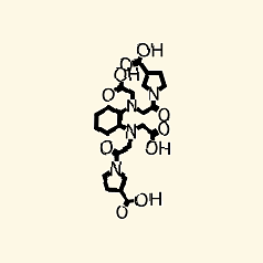 O=C(O)CN(CC(=O)N1CCC(C(=O)O)C1)C1CCCCC1N(CC(=O)O)CC(=O)N1CCC(C(=O)O)C1